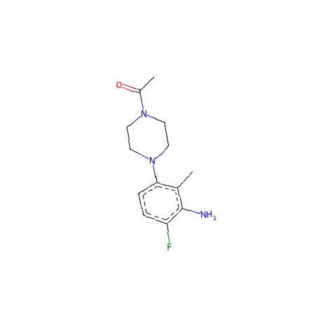 CC(=O)N1CCN(c2ccc(F)c(N)c2C)CC1